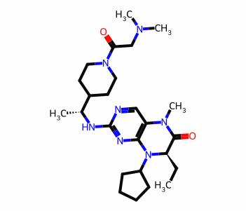 CC[C@@H]1C(=O)N(C)c2cnc(N[C@H](C)C3CCN(C(=O)CN(C)C)CC3)nc2N1C1CCCC1